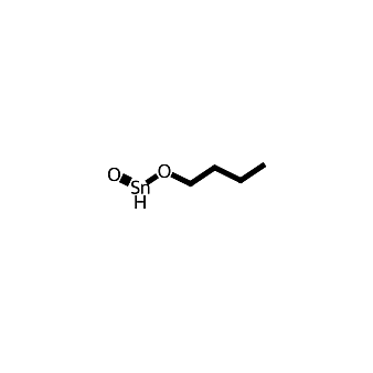 CCCC[O][SnH]=[O]